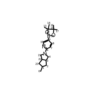 CC1CC2CN(c3ccc(B4OC(C)(C)C(C)(C)O4)cn3)CC2C1